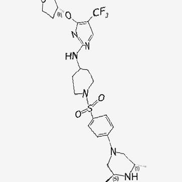 C[C@H]1CN(c2ccc(S(=O)(=O)N3CCC(Nc4ncc(C(F)(F)F)c(O[C@@H]5CCOC5)n4)CC3)cc2)C[C@H](C)N1